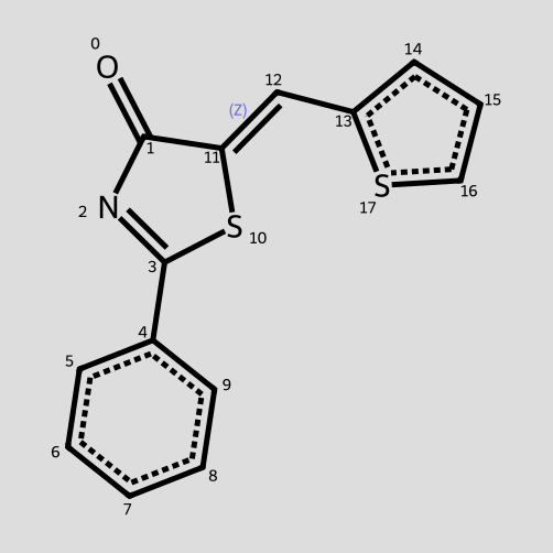 O=C1N=C(c2ccccc2)S/C1=C\c1cccs1